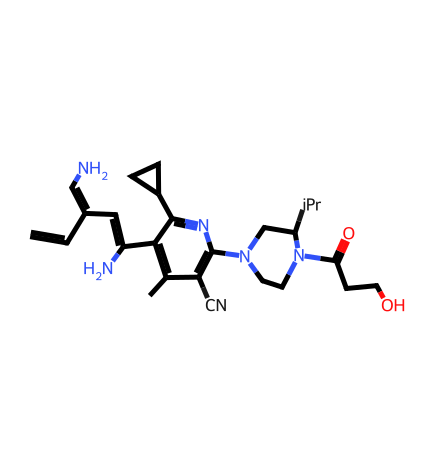 C=CC(=C/N)/C=C(\N)c1c(C2CC2)nc(N2CCN(C(=O)CCO)C(C(C)C)C2)c(C#N)c1C